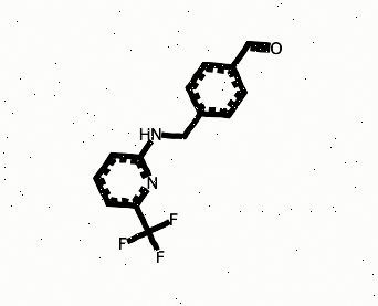 O=Cc1ccc(CNc2cccc(C(F)(F)F)n2)cc1